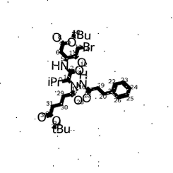 CC(C)C(C(=O)NC(CC(=O)OC(C)(C)C)C(=O)CBr)N(NC(=O)CCc1ccccc1)C(=O)CCCC(=O)OC(C)(C)C